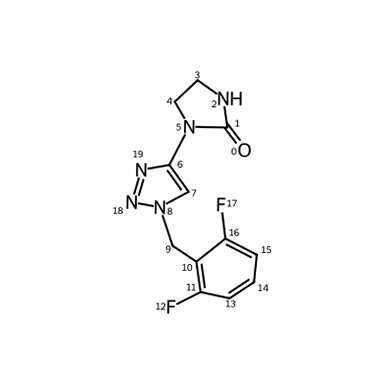 O=C1NCCN1c1cn(Cc2c(F)cccc2F)nn1